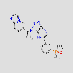 CC(c1ccc2nccn2c1)n1nnc2ncc(-c3cccc(P(C)(C)=O)c3)nc21